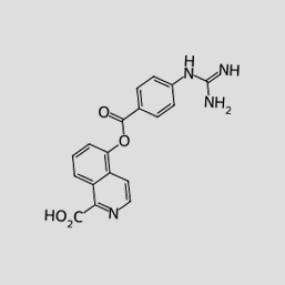 N=C(N)Nc1ccc(C(=O)Oc2cccc3c(C(=O)O)nccc23)cc1